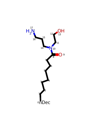 CCCCCCCCCCCCCCCCCC(=O)N(CCO)CCCN